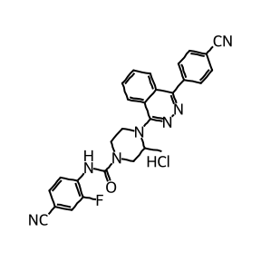 CC1CN(C(=O)Nc2ccc(C#N)cc2F)CCN1c1nnc(-c2ccc(C#N)cc2)c2ccccc12.Cl